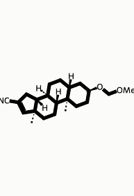 COCO[C@H]1CC[C@]2(C)[C@H](CC[C@H]3[C@H]2CC[C@@]2(C)C=C(C#N)C[C@H]32)C1